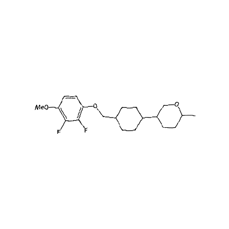 COc1ccc(OCC2CCC(C3CCC(C)OC3)CC2)c(F)c1F